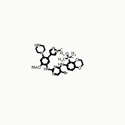 COc1cc(N2CCNCC2)c(-c2cnn(C)c2)cc1Nc1ncc(Br)c(Nc2ccc3c(c2P(C)(C)=O)OCCO3)n1